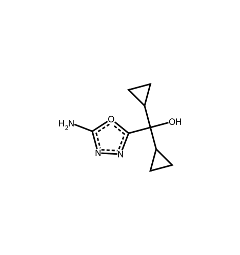 Nc1nnc(C(O)(C2CC2)C2CC2)o1